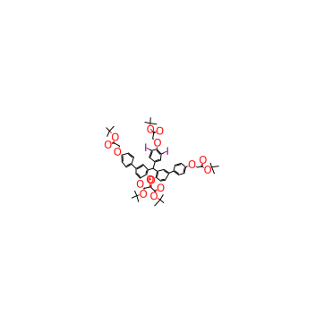 CC(C)(C)OC(=O)COc1ccc(-c2ccc(OCC(=O)OC(C)(C)C)c(C(c3cc(I)c(OCC(=O)OC(C)(C)C)c(I)c3)c3cc(-c4ccc(OCC(=O)OC(C)(C)C)cc4)ccc3OCC(=O)OC(C)(C)C)c2)cc1